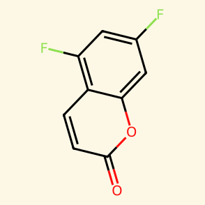 O=c1ccc2c(F)cc(F)cc2o1